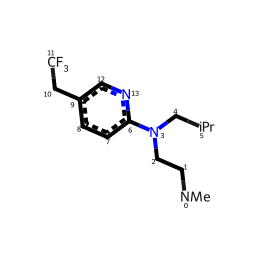 CNCCN(CC(C)C)c1ccc(CC(F)(F)F)cn1